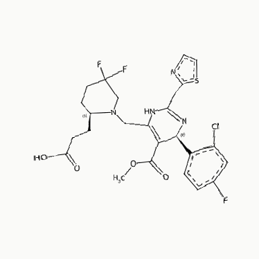 COC(=O)C1=C(CN2CC(F)(F)CC[C@@H]2CCC(=O)O)NC(c2nccs2)=N[C@H]1c1ccc(F)cc1Cl